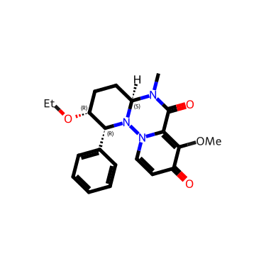 CCO[C@@H]1CC[C@H]2N(C)C(=O)c3c(OC)c(=O)ccn3N2[C@@H]1c1ccccc1